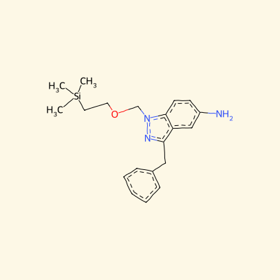 C[Si](C)(C)CCOCn1nc(Cc2ccccc2)c2cc(N)ccc21